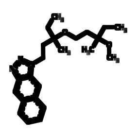 CCC(C)(CCOC(C)(CC)CCn1nnc2cc3ccccc3cc21)OC